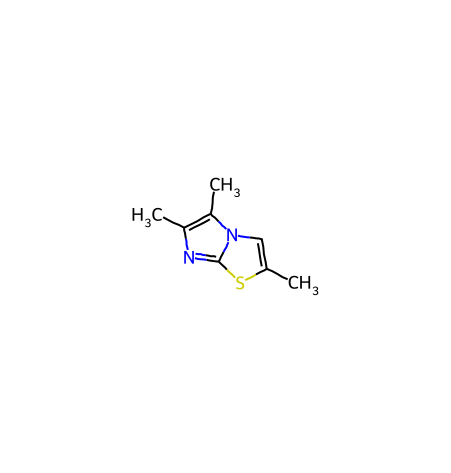 Cc1cn2c(C)c(C)nc2s1